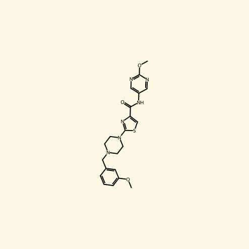 COc1cccc(CN2CCN(c3nc(C(=O)Nc4cnc(OC)nc4)cs3)CC2)c1